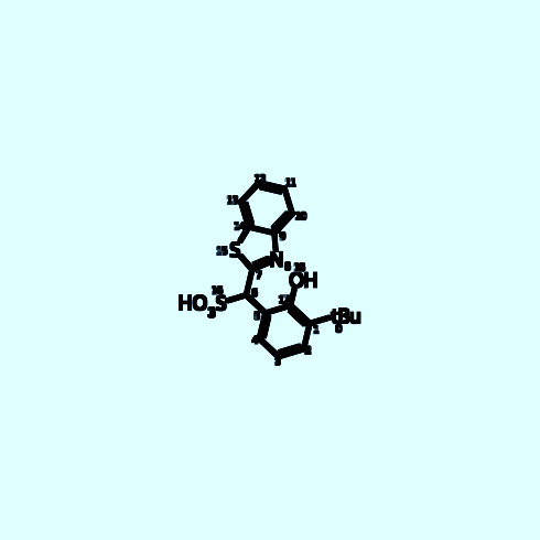 CC(C)(C)c1cccc(C(c2nc3ccccc3s2)S(=O)(=O)O)c1O